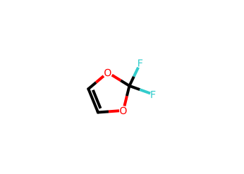 FC1(F)OC=CO1